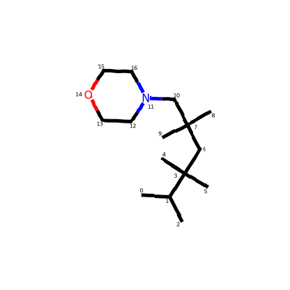 CC(C)C(C)(C)CC(C)(C)CN1CCOCC1